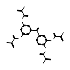 C=C(C)C(=O)Oc1cc(OC(=O)C(=C)C)cc(C(=O)c2ccc(OC(=O)C(=C)C)c(OC(=O)C(=C)C)c2)c1